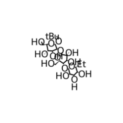 CC[C@H]1OC(O[C@H]2[C@H](O)[C@@H](O)[C@H](O[C@H]3[C@H](OC(C)(C)C)O[C@H](CO)[C@@H](O)[C@@H]3O)O[C@@H]2CO)[C@H](O)[C@@H](O)[C@@H]1O